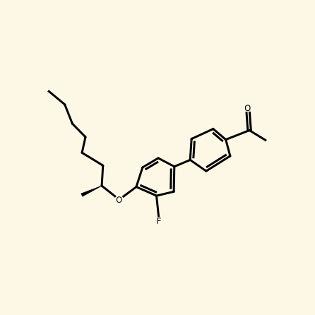 CCCCCC[C@H](C)Oc1ccc(-c2ccc(C(C)=O)cc2)cc1F